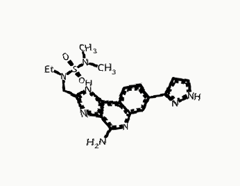 CCN(Cc1nc2c(N)nc3cc(-c4cc[nH]n4)ccc3c2[nH]1)S(=O)(=O)N(C)C